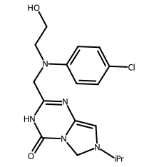 CC(C)N1C=C2N=C(CN(CCO)c3ccc(Cl)cc3)NC(=O)N2C1